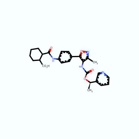 Cc1noc(-c2ccc(NC(=O)C3CCCCC3C(=O)O)cc2)c1NC(=O)O[C@H](C)c1cccnc1